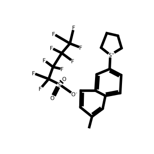 Cc1ccc2cc([S+]3CCCC3)ccc2c1.O=S(=O)([O-])C(F)(F)C(F)(F)C(F)(F)C(F)(F)F